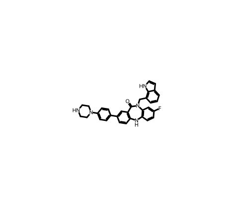 O=C1c2cc(-c3ccc(N4CCNCC4)cc3)ccc2Nc2ccc(F)cc2N1Cc1cccc2cc[nH]c12